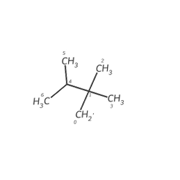 [CH2]C(C)(C)C(C)C